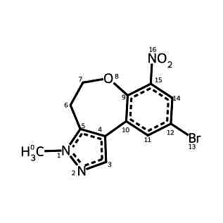 Cn1ncc2c1CCOc1c-2cc(Br)cc1[N+](=O)[O-]